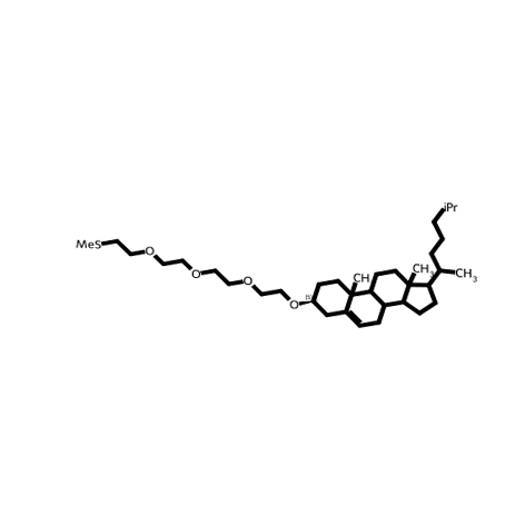 CSCCOCCOCCOCCO[C@H]1CCC2(C)C(=CCC3C2CCC2(C)C(C(C)CCCC(C)C)CCC32)C1